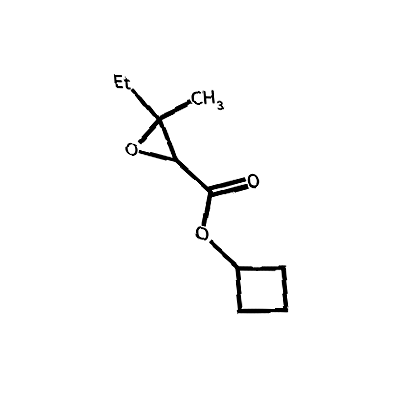 CCC1(C)OC1C(=O)OC1CCC1